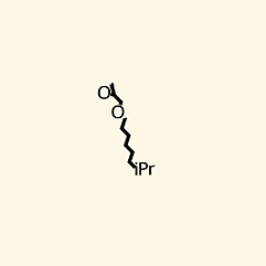 CC(C)CCCCCCOCC1CO1